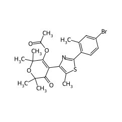 CC(=O)OC1=C(c2nc(-c3ccc(Br)cc3C)sc2C)C(=O)C(C)(C)OC1(C)C